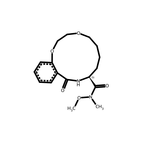 CON(C)C(=O)[C@@H]1CCCCOCCOc2ccccc2C(=O)N1